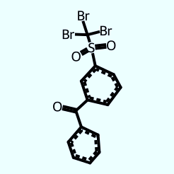 O=C(c1ccccc1)c1cccc(S(=O)(=O)C(Br)(Br)Br)c1